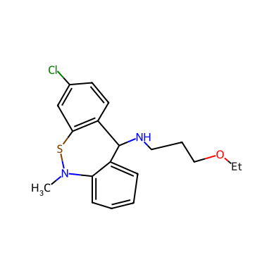 CCOCCCNC1c2ccc(Cl)cc2SN(C)c2ccccc21